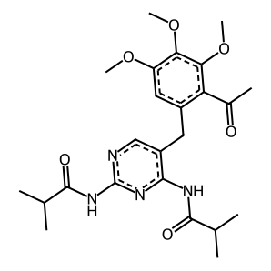 COc1cc(Cc2cnc(NC(=O)C(C)C)nc2NC(=O)C(C)C)c(C(C)=O)c(OC)c1OC